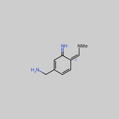 CN/C=C1/C=CC(CN)=CC1=N